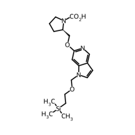 C[Si](C)(C)CCOCn1ccc2cnc(OC[C@H]3CCCN3C(=O)O)cc21